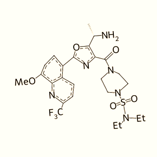 CCN(CC)S(=O)(=O)N1CCN(C(=O)c2nc(-c3ccc(OC)c4nc(C(F)(F)F)ccc34)oc2[C@H](C)N)CC1